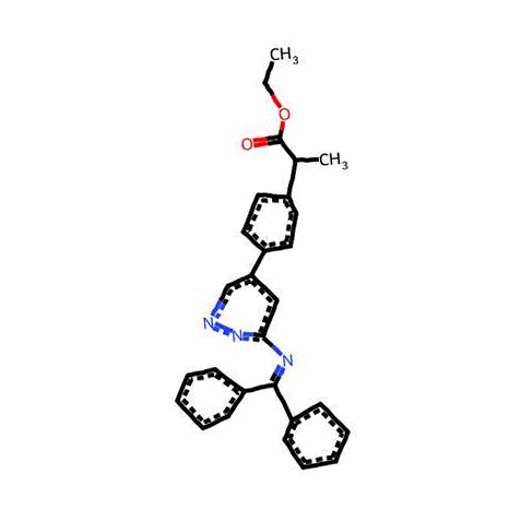 CCOC(=O)C(C)c1ccc(-c2cnnc(N=C(c3ccccc3)c3ccccc3)c2)cc1